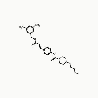 CCCCCC1CCC(C(=O)Oc2ccc(/C=C/C(=O)OCc3cc(N)cc(N)c3)cc2)CC1